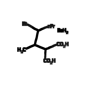 CCCC(CC)C(C)C(C(=O)O)C(=O)O.[BaH2]